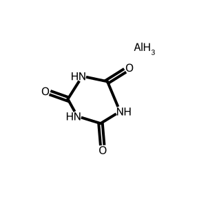 O=c1[nH]c(=O)[nH]c(=O)[nH]1.[AlH3]